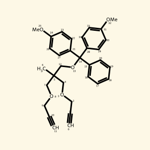 C#CCOCC(C)(COCC#C)COC(c1ccccc1)(c1ccc(OC)cc1)c1ccc(OC)cc1